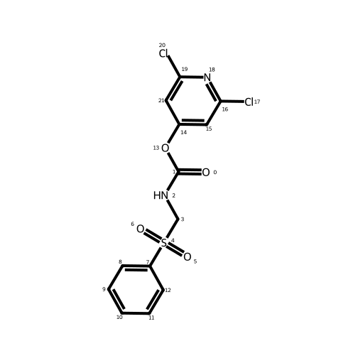 O=C(NCS(=O)(=O)c1ccccc1)Oc1cc(Cl)nc(Cl)c1